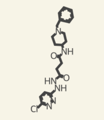 O=C(CCC(=O)NC1CCN(Cc2ccccc2)CC1)NNc1ccc(Cl)nn1